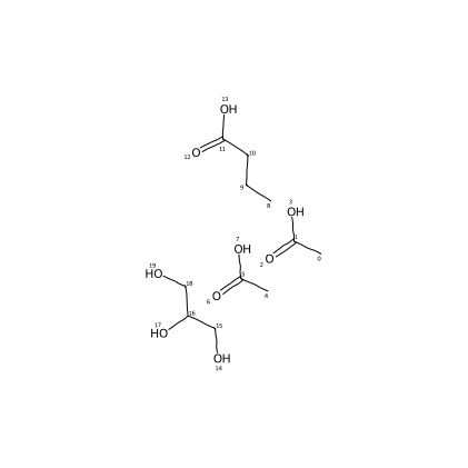 CC(=O)O.CC(=O)O.CCCC(=O)O.OCC(O)CO